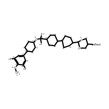 CCCCCC1COC(C2CCC(C3CCC(C(F)(F)OC4CCC(c5cc(F)c(OC(F)(F)F)c(F)c5)CC4)CC3)CC2)OC1